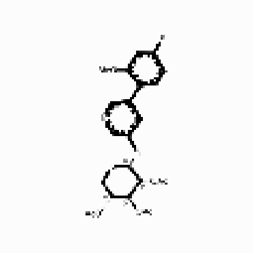 COc1cc(F)ccc1-c1cncc(O[C@H]2SC[C@@H](OC(C)=O)[C@H](OC(C)=O)[C@H]2OC(C)=O)c1